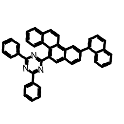 c1ccc(-c2nc(-c3ccccc3)nc(-c3cc4ccc(-c5cccc6ccccc56)cc4c4ccc5ccccc5c34)n2)cc1